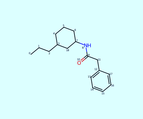 CCCC1CCCC(NC(=O)Cc2ccccc2)C1